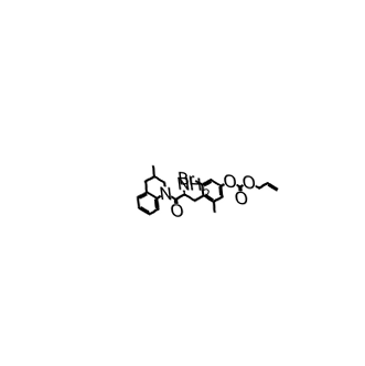 C=CCOC(=O)Oc1cc(C)c(C[C@H](N)C(=O)N2CC(C)Cc3ccccc32)c(Br)c1